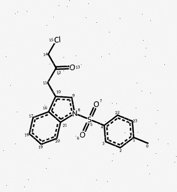 Cc1ccc(S(=O)(=O)n2cc(CC(=O)CCl)c3ccccc32)cc1